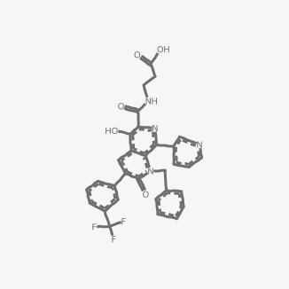 O=C(O)CCNC(=O)c1nc(-c2cccnc2)c2c(cc(-c3cccc(C(F)(F)F)c3)c(=O)n2Cc2ccccc2)c1O